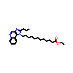 CCCc1nc2cnc3ccccc3c2n1CCCCCCCCCCCC(=O)OCC